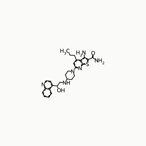 CCCc1cc(N2CCC(NCC(O)c3ccnc4ccccc34)CC2)nc2sc(C(N)=O)c(N)c12